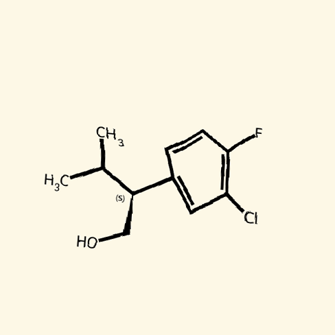 CC(C)[C@H](CO)c1ccc(F)c(Cl)c1